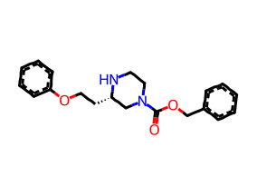 O=C(OCc1ccccc1)N1CCN[C@@H](CCOc2ccccc2)C1